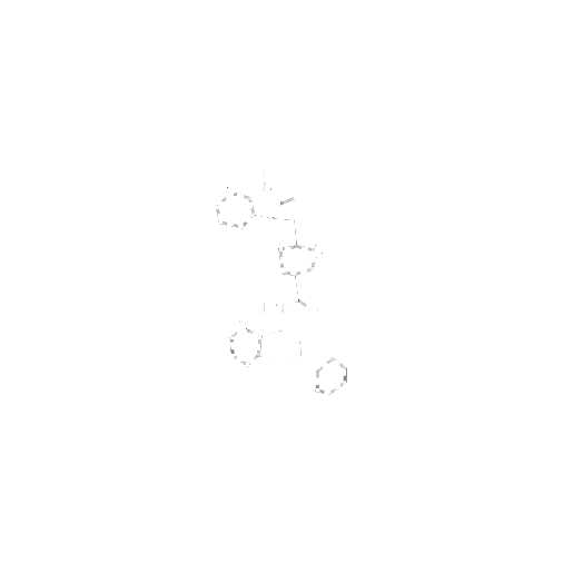 O=C(N[C@@H]1C[C@H](c2ccccc2)Cc2cccnc21)c1cnc2c(c1)C[C@@]1(C2)C(=O)Nc2ncccc21